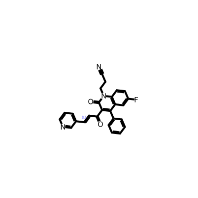 N#CCCn1c(=O)c(C(=O)/C=C/c2cccnc2)c(-c2ccccc2)c2cc(F)ccc21